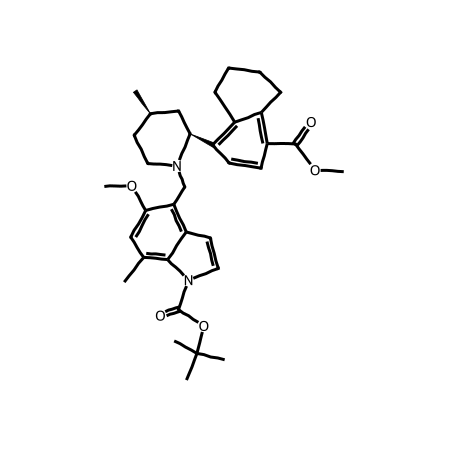 COC(=O)c1ccc([C@@H]2C[C@H](C)CCN2Cc2c(OC)cc(C)c3c2ccn3C(=O)OC(C)(C)C)c2c1CCCC2